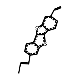 C=Cc1ccc2c(c1)sc1c3ccc(C=CC)cc3sc21